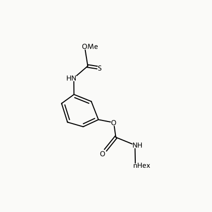 CCCCCCNC(=O)Oc1cccc(NC(=S)OC)c1